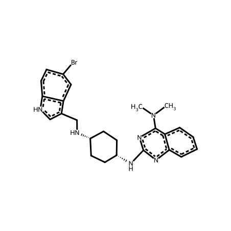 CN(C)c1nc(N[C@H]2CC[C@@H](NCc3c[nH]c4ccc(Br)cc34)CC2)nc2ccccc12